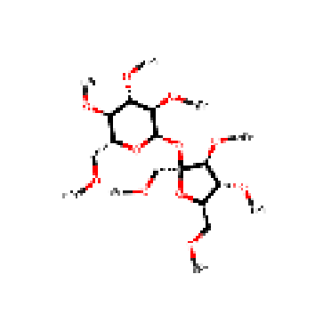 CCCOC[C@H]1O[C@@](COCCC)(O[C@H]2O[C@H](COCCC)[C@@H](OCCC)[C@H](OCCC)[C@H]2OCCC)[C@@H](OCCC)[C@@H]1OCCC